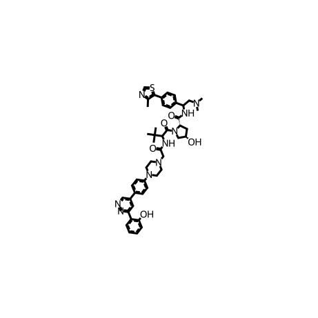 Cc1ncsc1-c1ccc(C(CN(C)C)NC(=O)[C@@H]2C[C@@H](O)CN2C(=O)C(NC(=O)CN2CCN(c3ccc(-c4cnnc(-c5ccccc5O)c4)cc3)CC2)C(C)(C)C)cc1